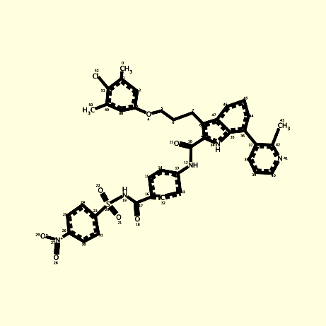 Cc1cc(OCCCc2c(C(=O)Nc3ccc(C(=O)NS(=O)(=O)c4ccc([N+](=O)[O-])cc4)cc3)[nH]c3c(-c4cccnc4C)cccc23)cc(C)c1Cl